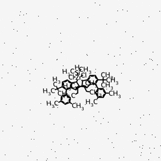 CCC(C)C1=Cc2c(ccc(C(C)(C)C)c2-c2cc(C)cc(C)c2)[CH]1[Zr]([Cl])([Cl])([CH]1C(C(C)CC)=Cc2c1ccc(C(C)(C)C)c2-c1cc(C)cc(C)c1)[SiH](C)C